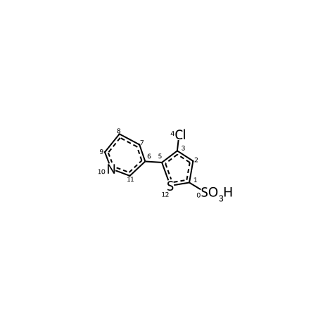 O=S(=O)(O)c1cc(Cl)c(-c2cccnc2)s1